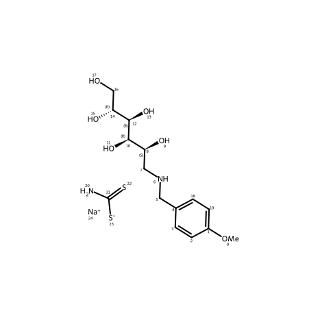 COc1ccc(CNC[C@H](O)[C@@H](O)[C@H](O)[C@H](O)CO)cc1.NC(=S)[S-].[Na+]